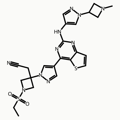 CCS(=O)(=O)N1CC(CC#N)(n2cc(-c3nc(Nc4cnn(C5CN(C)C5)c4)nc4ccsc34)cn2)C1